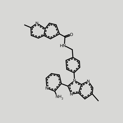 Cc1cnc2c(c1)nc(-c1cccnc1N)n2-c1ccc(CNC(=O)c2ccc3nc(C)ccc3c2)cc1